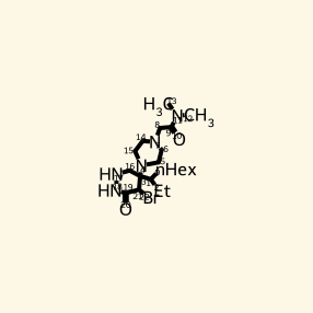 CCCCCCC(CC)C1(N2CCN(CC(=O)N(C)C)CC2)CNNC(=O)C1Br